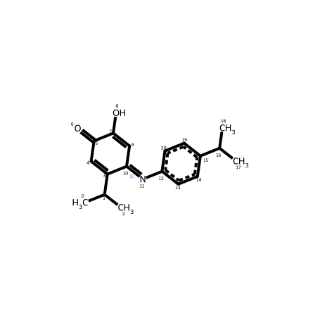 CC(C)C1=CC(=O)C(O)=C/C1=N\c1ccc(C(C)C)cc1